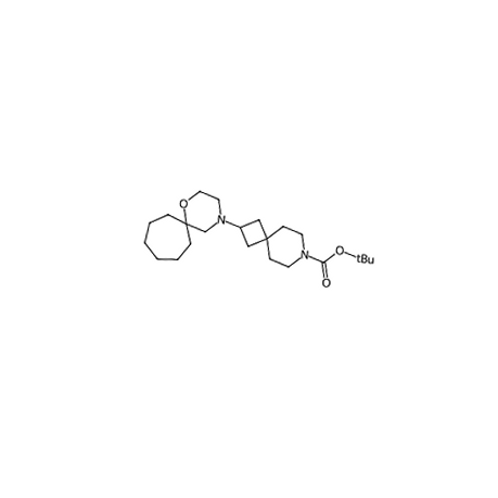 CC(C)(C)OC(=O)N1CCC2(CC1)CC(N1CCOC3(CCCCCC3)C1)C2